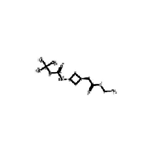 CCOC(=O)C[C@H]1C[C@H](NC(=O)OC(C)(C)C)C1